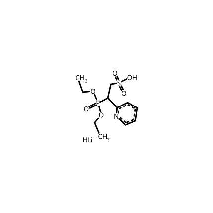 CCOP(=O)(OCC)C(CS(=O)(=O)O)c1ccccn1.[LiH]